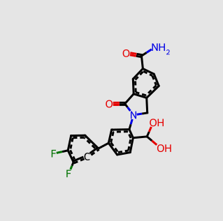 NC(=O)c1ccc2c(c1)C(=O)N(c1cc(-c3ccc(F)c(F)c3)ccc1C(O)O)C2